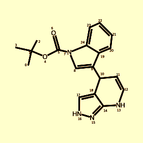 CC(C)(C)OC(=O)n1cc(C2C=CNc3n[nH]cc32)c2ccccc21